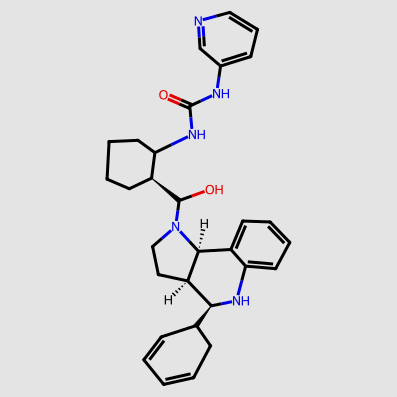 O=C(Nc1cccnc1)NC1CCCC[C@@H]1C(O)N1CC[C@@H]2[C@H](C3C=CC=CC3)Nc3ccccc3[C@@H]21